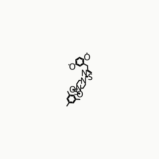 COc1ccc(OC)c(Cc2csc(N3CCN(S(=O)(=O)c4c(C)cc(C)cc4C)CC3)n2)c1